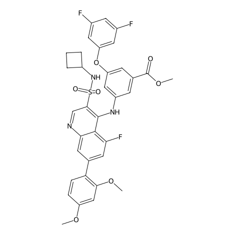 COC(=O)c1cc(Nc2c(S(=O)(=O)NC3CCC3)cnc3cc(-c4ccc(OC)cc4OC)cc(F)c23)cc(Oc2cc(F)cc(F)c2)c1